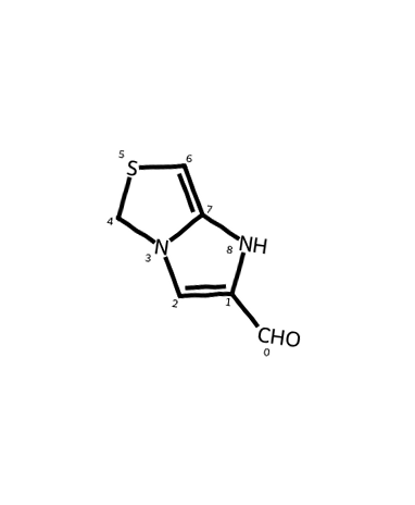 O=CC1=CN2CSC=C2N1